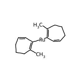 CC1=[C]([Ru][C]2=C(C)CCCC=C2)C=CCCC1